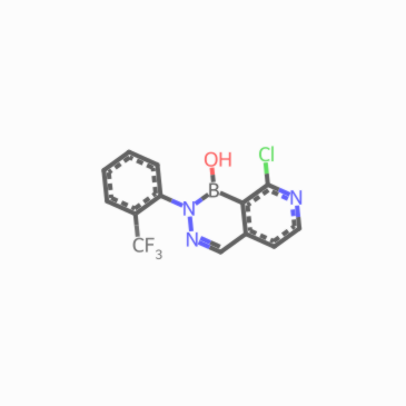 OB1c2c(ccnc2Cl)C=NN1c1ccccc1C(F)(F)F